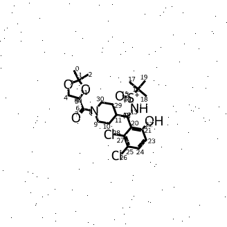 CC1(C)OC[C@H](C(=O)N2CCC([C@@H](N[S@@+]([O-])C(C)(C)C)c3c(O)ccc(Cl)c3Cl)CC2)O1